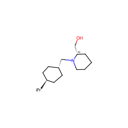 CC(C)[C@H]1CC[C@H](CN2CCCC[C@H]2CO)CC1